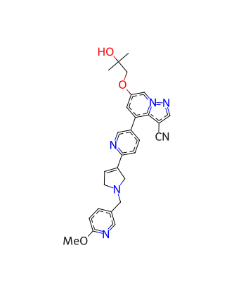 COc1ccc(CN2CC=C(c3ccc(-c4cc(OCC(C)(C)O)cn5ncc(C#N)c45)cn3)C2)cn1